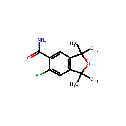 CC1(C)OC(C)(C)c2cc(C(N)=O)c(Br)cc21